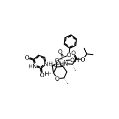 CC(C)OC(=O)[C@H](C)N[P@](=O)(Oc1ccccc1)O[C@H]1[C@H]2O[C@@H](C)C[C@]1(CO)O[C@H]2n1ccc(=O)[nH]c1=O